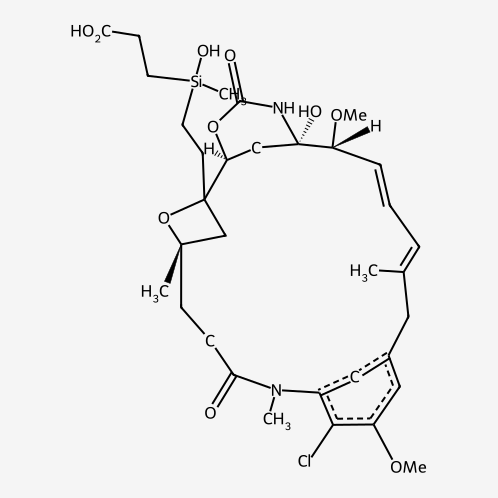 COc1cc2cc(c1Cl)N(C)C(=O)CC[C@@]1(C)CC(CC[Si](C)(O)CCC(=O)O)(O1)[C@@H]1C[C@@](O)(NC(=O)O1)[C@H](OC)/C=C/C=C(\C)C2